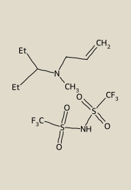 C=CCN(C)C(CC)CC.O=S(=O)(NS(=O)(=O)C(F)(F)F)C(F)(F)F